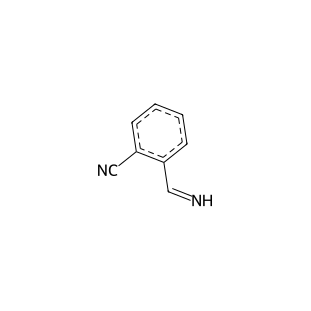 N#Cc1ccccc1C=N